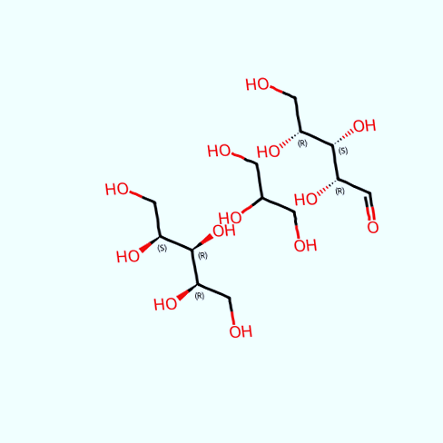 O=C[C@H](O)[C@@H](O)[C@H](O)CO.OCC(O)CO.OC[C@@H](O)[C@H](O)[C@@H](O)CO